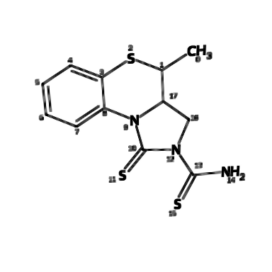 CC1Sc2ccccc2N2C(=S)N(C(N)=S)CC12